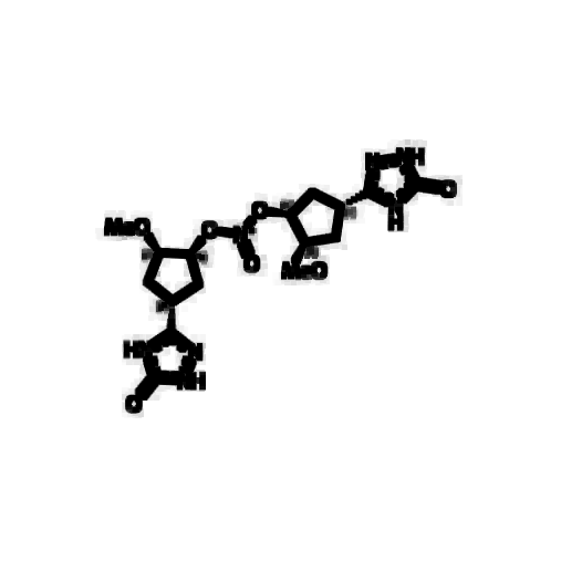 CO[C@@H]1C[C@@H](c2n[nH]c(=O)[nH]2)C[C@@H]1O[N+](=O)O[C@H]1C[C@H](c2n[nH]c(=O)[nH]2)C[C@H]1OC